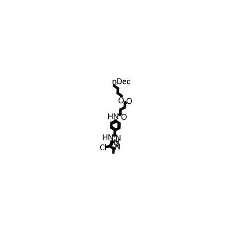 CCCCCCCCCCCCCCOC(=O)CCC(=O)Nc1ccc(-c2nn3nc(C)c(Cl)c3[nH]2)cc1